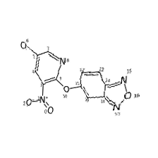 O=[N+]([O-])c1cc(Cl)cnc1Oc1ccc2nonc2c1